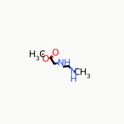 CNCCNCC(=O)OC